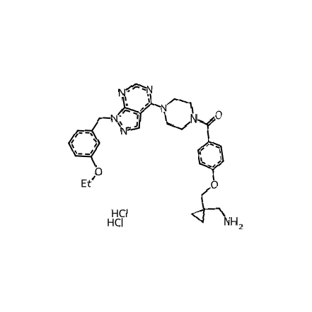 CCOc1cccc(Cn2ncc3c(N4CCN(C(=O)c5ccc(OCC6(CN)CC6)cc5)CC4)ncnc32)c1.Cl.Cl